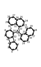 c1ccc2c(c1)-c1cccc(N(c3cccc4ccccc34)c3cccc4ccccc34)c1-2